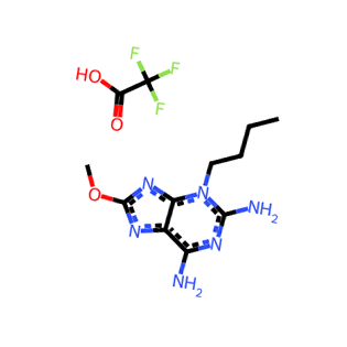 CCCCn1c(N)nc(N)c2nc(OC)nc1-2.O=C(O)C(F)(F)F